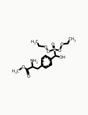 CCOOP(=O)(OOCC)C(O)c1ccc(CC(N)C(=O)OC)cc1